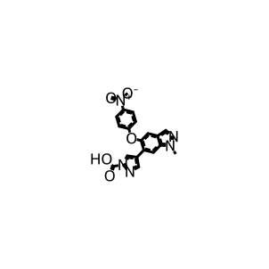 Cn1ncc2cc(Oc3ccc([N+](=O)[O-])cc3)c(-c3cnn(C(=O)O)c3)cc21